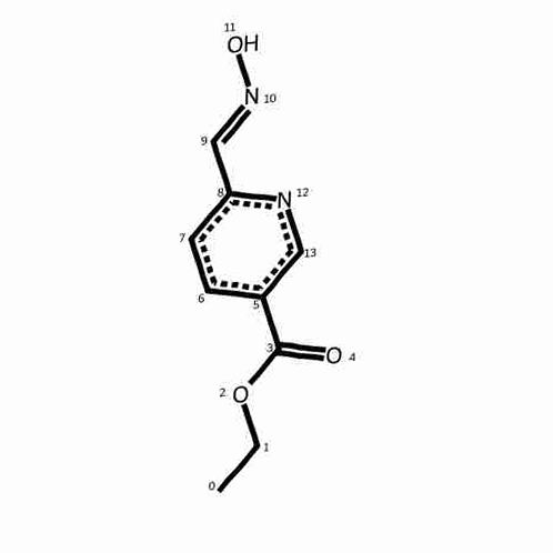 CCOC(=O)c1ccc(C=NO)nc1